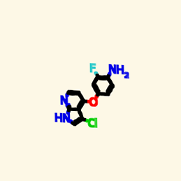 Nc1ccc(Oc2ccnc3[nH]cc(Cl)c23)cc1F